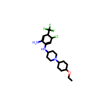 CCOC1CCC(N2CCC(NC3=CC(Cl)C(C(F)(F)F)C=C3N)CC2)CC1